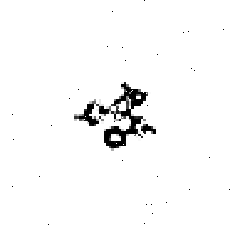 Cc1nc(C(=O)N2C3CC(C3)C(C)C2COc2ncc(F)cn2)c(-c2ccccc2)s1